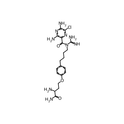 N=C(N)N(CCCCc1ccc(OCCC(N)C(N)=O)cc1)C(=O)c1nc(Cl)c(N)nc1N